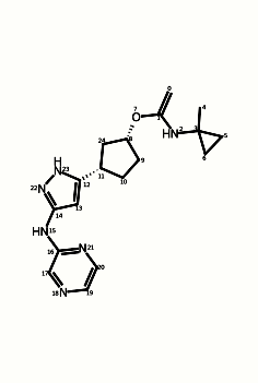 C=C(NC1(C)CC1)O[C@@H]1CC[C@H](c2cc(Nc3cnccn3)n[nH]2)C1